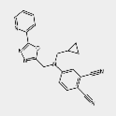 N#Cc1ccc(N(Cc2nnc(-c3ccccn3)o2)CC2CC2)cc1C#N